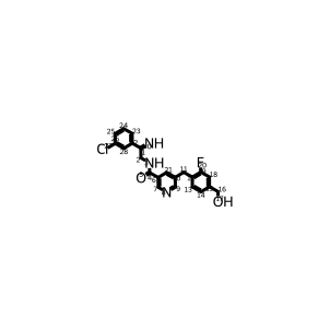 N=C(CNC(=O)c1cncc(Cc2ccc(CO)cc2F)c1)c1cccc(Cl)c1